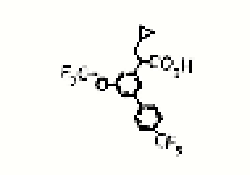 O=C(O)C(CC1CC1)c1cc(OCC(F)(F)F)cc(-c2ccc(C(F)(F)F)cc2)c1